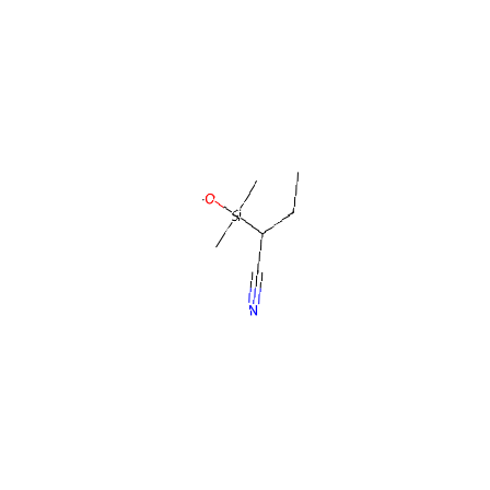 CCC(C#N)[Si](C)(C)[O]